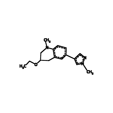 CCOC1Cc2cc(-c3cnn(C)c3)ccc2N(C)C1